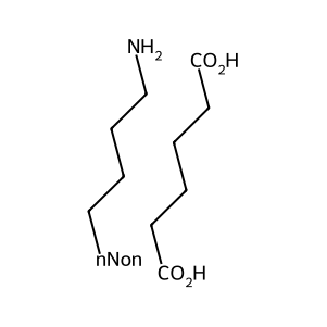 CCCCCCCCCCCCCN.O=C(O)CCCCC(=O)O